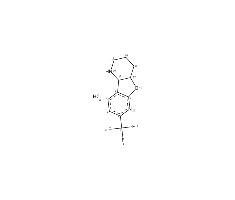 Cl.FC(F)(F)c1ccc2c(n1)OC1CCCNC21